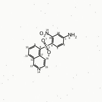 Nc1ccc(S(=O)(=O)c2cccc3cnccc23)c([N+](=O)[O-])c1